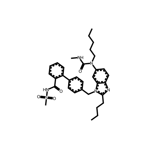 CCCCCN(C(=O)NC)c1ccc2nc(CCCC)n(Cc3ccc(-c4ccccc4C(=O)NS(C)(=O)=O)cc3)c2c1